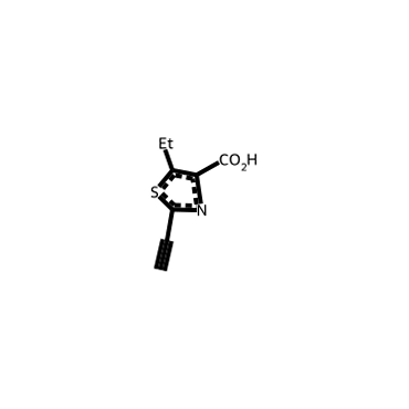 C#Cc1nc(C(=O)O)c(CC)s1